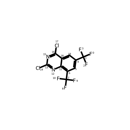 FC(F)(F)c1cc(C(F)(F)F)c2nc(Cl)nc(Cl)c2c1